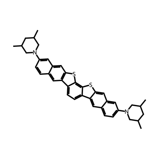 CC1CC(C)CN(c2ccc3cc4c(cc3c2)sc2c4ccc3c4cc5ccc(N6CC(C)CC(C)C6)cc5cc4sc32)C1